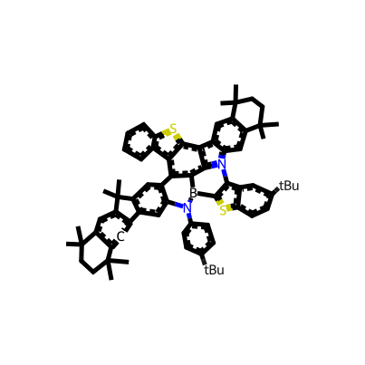 CC(C)(C)c1ccc(N2B3c4sc5ccc(C(C)(C)C)cc5c4-n4c5cc6c(cc5c5c7sc8ccccc8c7c(c3c54)-c3cc4c(cc32)-c2cc3c(cc2C4(C)C)C(C)(C)CCC3(C)C)C(C)(C)CCC6(C)C)cc1